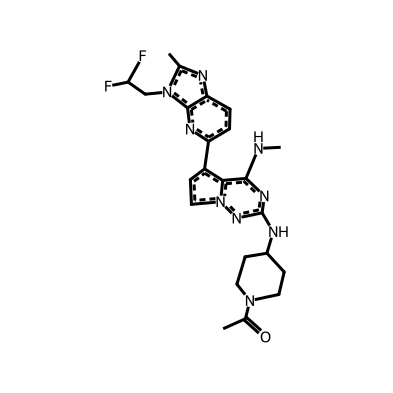 CNc1nc(NC2CCN(C(C)=O)CC2)nn2ccc(-c3ccc4nc(C)n(CC(F)F)c4n3)c12